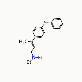 CCN(CC)CC=C(C)c1ccc(Sc2ccccc2)cc1